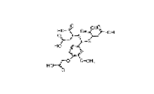 COc1cc(C(SC(CC(=O)O)C(=O)O)SC(CC(=O)O)C(=O)O)ccc1OCC(=O)O